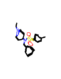 CCN1CCC(N(Cc2ccccc2)S(=O)(=O)c2ccc(C)cc2)CC1